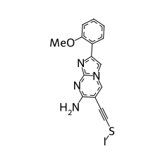 COc1ccccc1-c1cn2cc(C#CSI)c(N)nc2n1